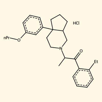 CCCOc1cccc(C23CCCC2CN(C(C)C(=O)c2ccccc2CC)CC3)c1.Cl